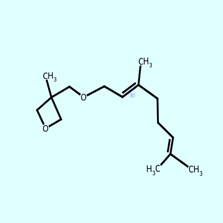 CC(C)=CCC/C(C)=C/COCC1(C)COC1